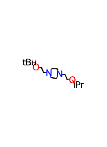 CC(C)OCCN1CCN(CCOC(C)(C)C)CC1